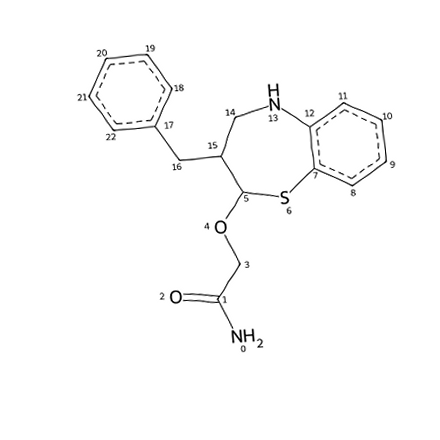 NC(=O)COC1Sc2ccccc2NCC1Cc1ccccc1